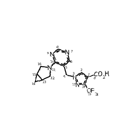 O=C(O)c1cn(Cc2cncnc2N2CC3CC3C2)nc1C(F)(F)F